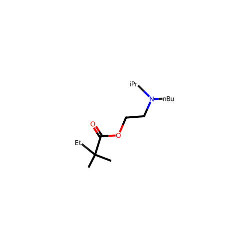 CCCCN(CCOC(=O)C(C)(C)CC)C(C)C